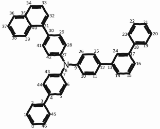 c1ccc(-c2ccc(N(c3ccc(-c4cccc(-c5ccccc5)c4)cc3)c3ccc(-c4cccc5ccccc45)cc3)cc2)cc1